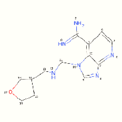 N=C(N)c1ccnc2ncn(CNCC3CCOC3)c12